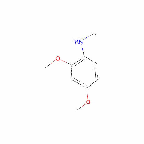 [CH2]Nc1ccc(OC)cc1OC